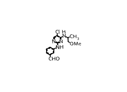 COCC(C)Nc1nc(Nc2cccc(C=O)c2)ncc1Cl